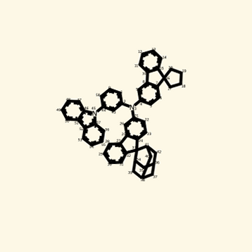 c1cc(N(c2ccc3c(c2)-c2ccccc2C32CCCC2)c2ccc3c(c2)-c2ccccc2C32C3CC4CC(C3)CC2C4)cc(-n2c3ccccc3c3ccccc32)c1